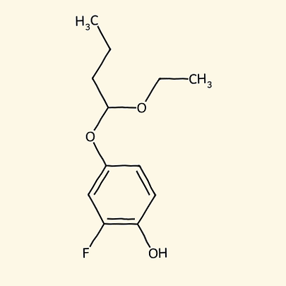 CCCC(OCC)Oc1ccc(O)c(F)c1